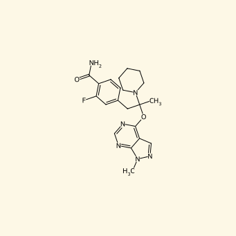 Cn1ncc2c(OC(C)(Cc3ccc(C(N)=O)c(F)c3)N3CCCCC3)ncnc21